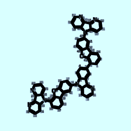 c1cc(-c2ccc3c(c2)c2ncccc2n3-c2ccc3oc4c(-n5c6cccnc6c6ncccc65)cccc4c3c2)c2oc3ccc(-n4c5cccnc5c5ncccc54)cc3c2c1